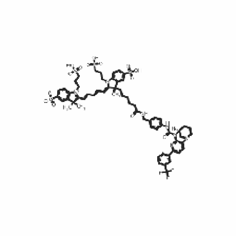 CC1(C)C(/C=C/C=C/C=C2\N(CCCS(=O)(=O)O)c3ccc(S(=O)(=O)O)cc3C2(C)CCCCCC(=O)NCc2ccc(NC(=O)N3c4nc(-c5cccc(C(F)(F)F)c5)ccc4N4CCC[C@H]3C4)cc2)=[N+](CCCS(=O)(=O)O)c2ccc(S(=O)(=O)[O-])cc21